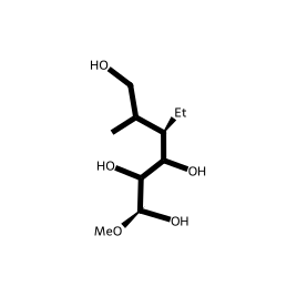 CC[C@H](C(C)CO)C(O)C(O)[C@@H](O)OC